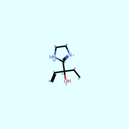 C=CC(O)(CC)C1=NCCN1